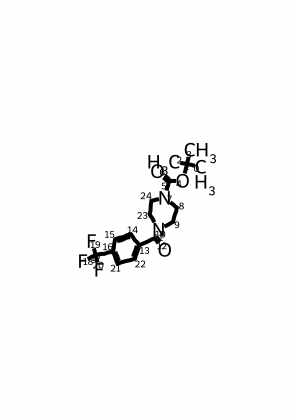 CC(C)(C)OC(=O)N1CCN(C(=O)c2ccc(C(F)(F)F)cc2)CC1